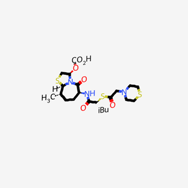 CC[C@H](C)[C@H](SC(=O)CN1CCSCC1)C(=O)N[C@H]1CC[C@H](C)[C@H]2SC[C@@H](OC(=O)O)N2C1=O